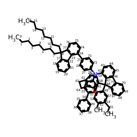 CCCCCCCCC1(CCCCCCCC)c2ccccc2-c2c(-c3ccc(N(c4ccc(-c5ccccc5)cc4)c4cccc5c4C(c4ccc(C)c(CC)c4)(c4ccc6c(c4)CC6)c4ccccc4-5)cc3)cccc21